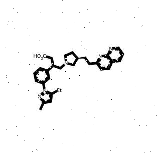 CCc1cc(C)nn1-c1cccc(C(CC(=O)O)CN2CC[C@@H](CCc3ccc4cccnc4n3)C2)c1